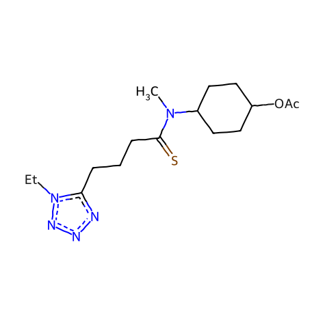 CCn1nnnc1CCCC(=S)N(C)C1CCC(OC(C)=O)CC1